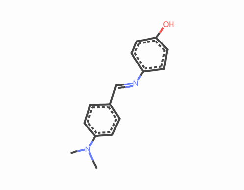 CN(C)c1ccc(C=Nc2ccc(O)cc2)cc1